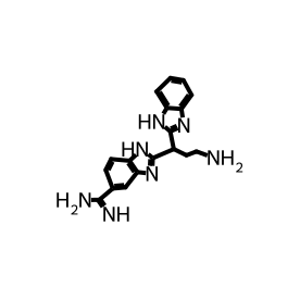 N=C(N)c1ccc2[nH]c(C(CCN)c3nc4ccccc4[nH]3)nc2c1